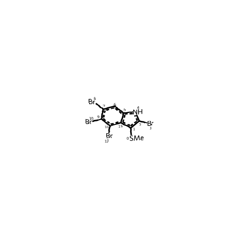 CSc1c(Br)[nH]c2cc(Br)c(Br)c(Br)c12